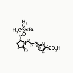 CC(C)(C)[Si](C)(C)OC[C@H]1CCC(=O)N1CCSc1nc(C(=O)O)cs1